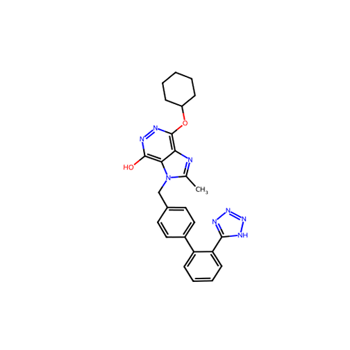 Cc1nc2c(OC3CCCCC3)nnc(O)c2n1Cc1ccc(-c2ccccc2-c2nnn[nH]2)cc1